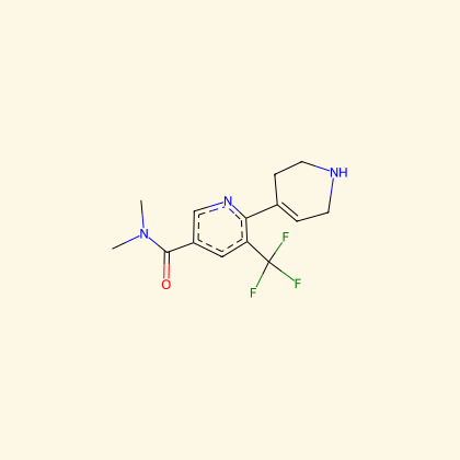 CN(C)C(=O)c1cnc(C2=CCNCC2)c(C(F)(F)F)c1